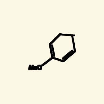 COC1=CC[CH]C=C1